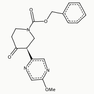 COc1cnc([C@@H]2CN(C(=O)OCc3ccccc3)CCC2=O)cn1